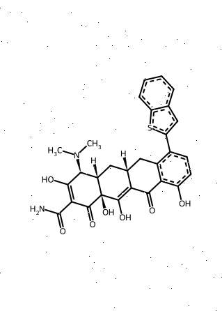 CN(C)[C@@H]1C(O)=C(C(N)=O)C(=O)[C@@]2(O)C(O)=C3C(=O)c4c(O)ccc(-c5cc6ccccc6s5)c4C[C@H]3C[C@@H]12